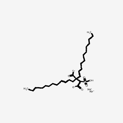 CCCCCCCCCCCCC(CCCCCCCCCCCC)(C(=O)[O-])C(C(=O)[O-])S(=O)(=O)O.[Na+].[Na+]